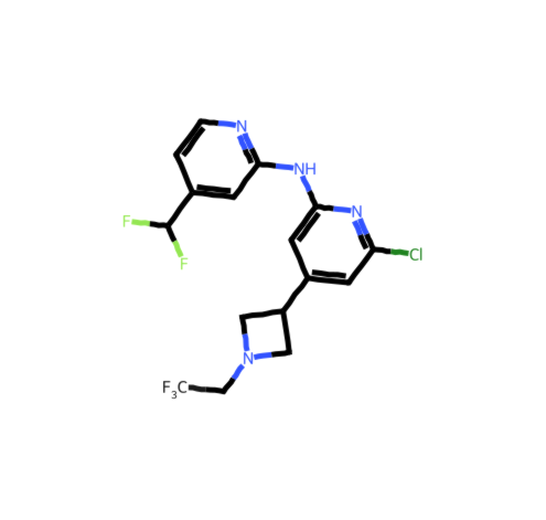 FC(F)c1ccnc(Nc2cc(C3CN(CC(F)(F)F)C3)cc(Cl)n2)c1